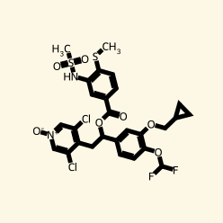 CSc1ccc(C(=O)OC(Cc2c(Cl)c[n+]([O-])cc2Cl)c2ccc(OC(F)F)c(OCC3CC3)c2)cc1NS(C)(=O)=O